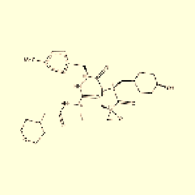 COc1ccc(C[C@H](NC(=O)[C@H](C)NC(=O)CN2CCOCC2)C(=O)N[C@@H](C[C@H]2CC[C@@H](O)CC2)C(=O)[C@@]2(C)CO2)cc1